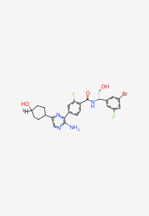 [2H]C1(O)CCC(c2cnc(N)c(-c3ccc(C(=O)N[C@H](CO)c4cc(F)cc(Br)c4)c(F)c3)n2)CC1